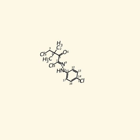 CC(C)(CCl)C(=O)C(Cl)=NNc1ccc(Cl)cc1